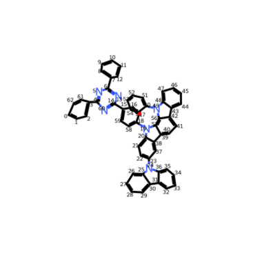 c1ccc(-c2nc(-c3ccccc3)nc(-c3ccc(-n4c5ccc(-n6c7ccccc7c7ccccc76)cc5c5ccc6c7ccccc7n(-c7ccccc7)c6c54)cc3)n2)cc1